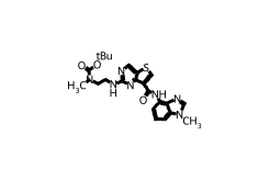 CN(CCNc1ncc2scc(C(=O)Nc3cccc4c3ncn4C)c2n1)C(=O)OC(C)(C)C